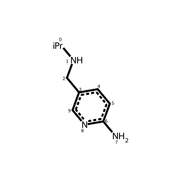 CC(C)NCc1ccc(N)nc1